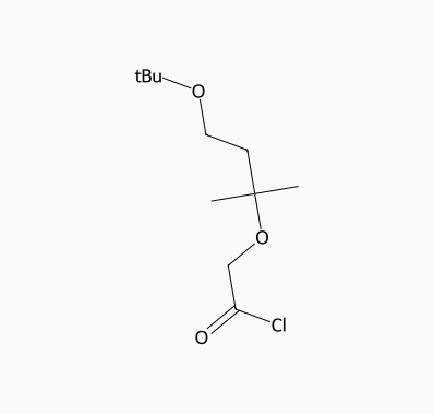 CC(C)(C)OCCC(C)(C)OCC(=O)Cl